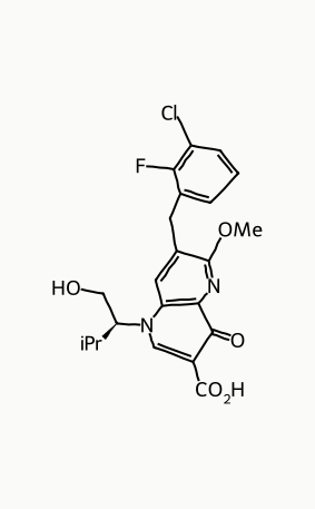 COc1nc2c(=O)c(C(=O)O)cn([C@H](CO)C(C)C)c2cc1Cc1cccc(Cl)c1F